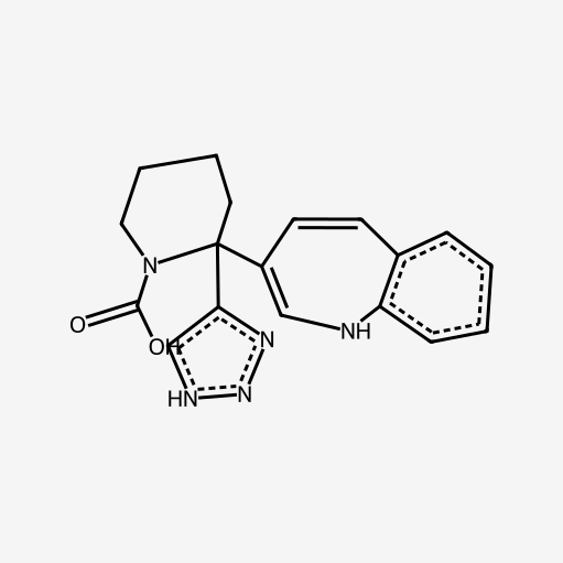 O=C(O)N1CCCCC1(C1=CNc2ccccc2C=C1)c1c[nH]nn1